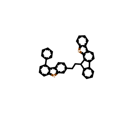 c1ccc(-c2cccc3sc4cc(CCC5c6ccccc6-c6ccc7c(sc8ccccc87)c65)ccc4c23)cc1